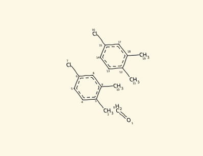 C=O.Cc1ccc(Cl)cc1C.Cc1ccc(Cl)cc1C